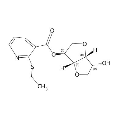 CCSc1ncccc1C(=O)O[C@H]1CO[C@H]2[C@@H]1OC[C@H]2O